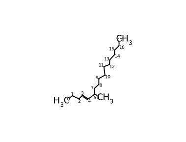 CCC/C=C/C(C)CCCCCCCCCCC